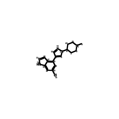 CN1CCC(n2cc(-c3cc(Cl)cc4[nH]ncc34)cn2)CC1